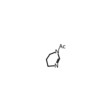 CC(=O)N1C=NCCC1